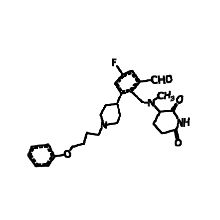 CN(Cc1c(C=O)cc(F)cc1C1CCN(CCCCOc2ccccc2)CC1)C1CCC(=O)NC1=O